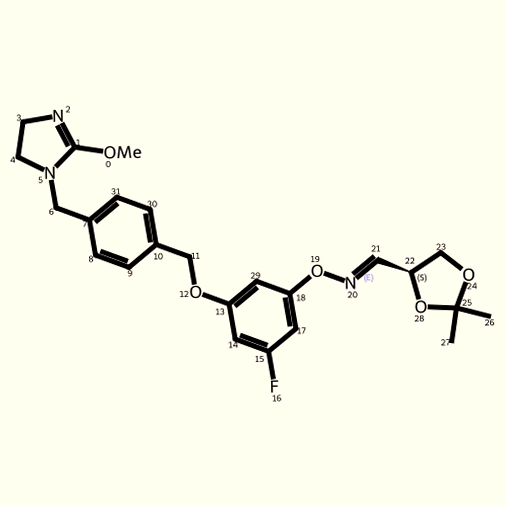 COC1=NCCN1Cc1ccc(COc2cc(F)cc(O/N=C/[C@H]3COC(C)(C)O3)c2)cc1